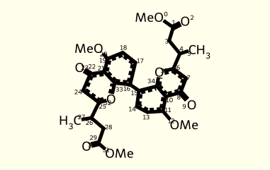 COC(=O)CC(C)c1cc(=O)c2c(OC)ccc(-c3ccc(OC)c4c(=O)cc(C(C)CC(=O)OC)oc34)c2o1